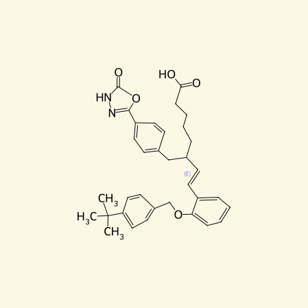 CC(C)(C)c1ccc(COc2ccccc2/C=C/C(CCCCC(=O)O)Cc2ccc(-c3n[nH]c(=O)o3)cc2)cc1